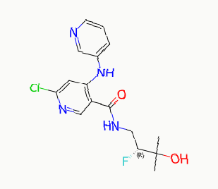 CC(C)(O)[C@H](F)CNC(=O)c1cnc(Cl)cc1Nc1cccnc1